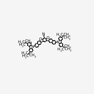 CC(C)(C)c1ccc2c(c1)c1cc(C(C)(C)C)ccc1n2-c1ccc2cc3c(cc2c1)oc1c(C#N)c2oc4cc5cc(-n6c7ccc(C(C)(C)C)cc7c7cc(C(C)(C)C)ccc76)ccc5cc4c2cc13